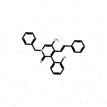 CC(=O)c1ccccc1-c1c(/C=C/c2ccccc2)c(C)cn(Cc2ccccc2)c1=O